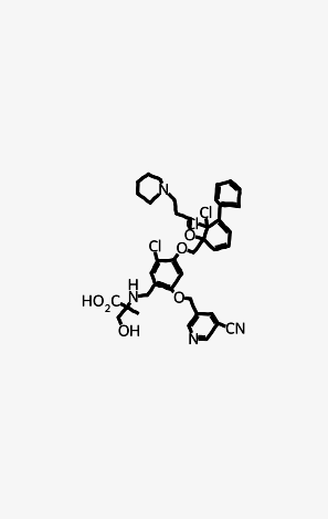 CC(CO)(NCc1cc(Cl)c(OCC2(OCCCN3CCCCC3)C=CC=C(c3ccccc3)C2(Cl)Cl)cc1OCc1cncc(C#N)c1)C(=O)O